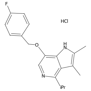 Cc1[nH]c2c(OCc3ccc(F)cc3)cnc(C(C)C)c2c1C.Cl